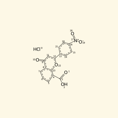 Cl.O=C(O)c1cccc2c(=O)cc(-c3ccc([N+](=O)[O-])cc3)oc12